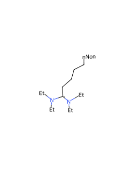 CCCCCCCCCCCCC[C](N(CC)CC)N(CC)CC